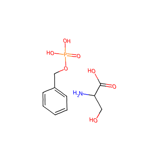 NC(CO)C(=O)O.O=P(O)(O)OCc1ccccc1